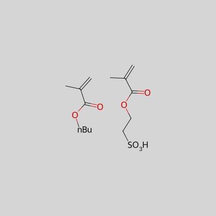 C=C(C)C(=O)OCCCC.C=C(C)C(=O)OCCS(=O)(=O)O